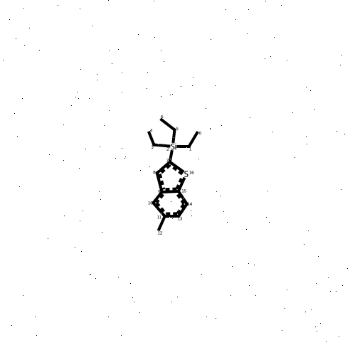 CC[Si](CC)(CC)c1cc2cc(C)ccc2s1